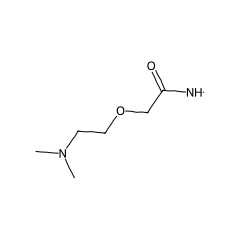 CN(C)CCOCC([NH])=O